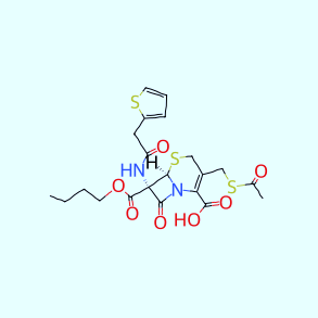 CCCCOC(=O)[C@]1(NC(=O)Cc2cccs2)C(=O)N2C(C(=O)O)=C(CSC(C)=O)CS[C@@H]21